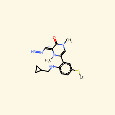 CCSc1ccc(NCC2CC2)c(C2=CN(C)C(=O)/C(=C/N=N)N2C)c1